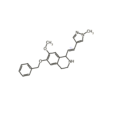 COc1cc2c(cc1OCc1ccccc1)CCNC2/C=C/c1cnn(C)c1